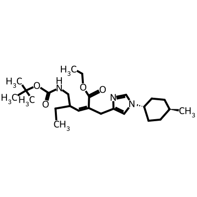 CCOC(=O)C(=CC(CC)CNC(=O)OC(C)(C)C)Cc1cn([C@H]2CC[C@H](C)CC2)cn1